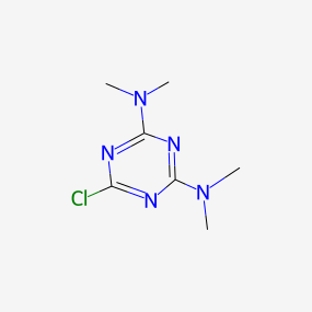 CN(C)c1nc(Cl)nc(N(C)C)n1